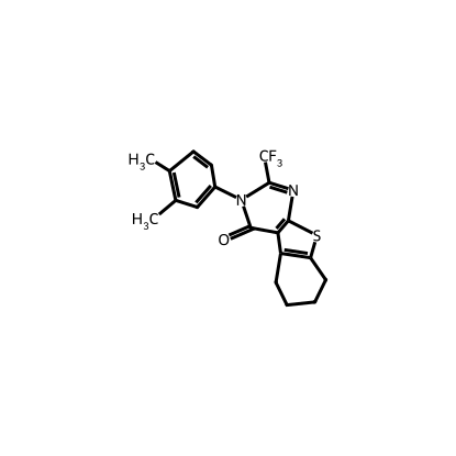 Cc1ccc(-n2c(C(F)(F)F)nc3sc4c(c3c2=O)CCCC4)cc1C